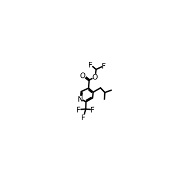 CC(C)Cc1cc(C(F)(F)F)ncc1C(=O)OC(F)F